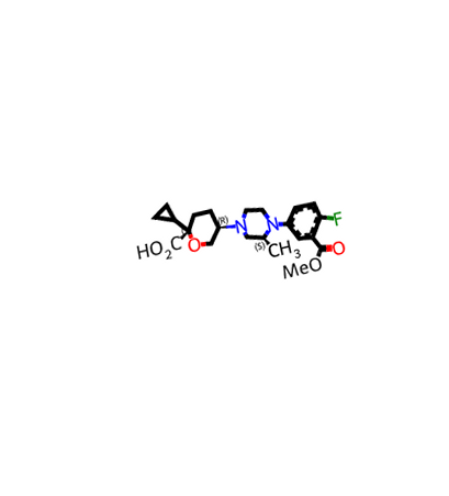 COC(=O)c1cc(N2CCN([C@@H]3CC[C@@](C(=O)O)(C4CC4)OC3)C[C@@H]2C)ccc1F